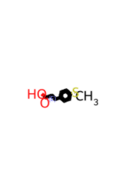 CSc1ccc(/C=C/C(=O)O)cc1